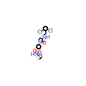 O=C1[C@@H](NCCc2c(Cl)cccc2Cl)CCN1c1ccc(S(=O)(=O)Nc2nccs2)cc1